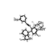 CNc1cccc(C#Cc2c(-c3cccc4c(C)c[nH]c34)cc(C)c3c2[C@H](C)[C@@H](O)C(C)(C)N3)c1